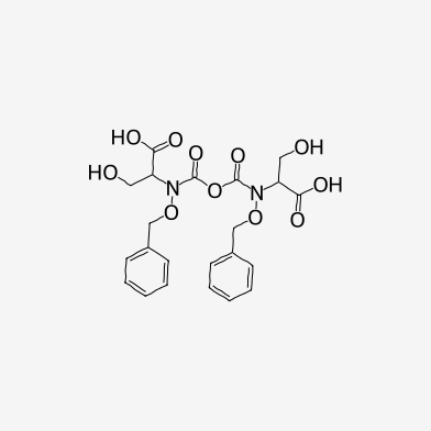 O=C(O)C(CO)N(OCc1ccccc1)C(=O)OC(=O)N(OCc1ccccc1)C(CO)C(=O)O